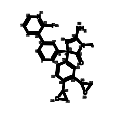 CN1C(=O)[C@](c2cccc(-c3cccnc3F)c2)(c2ccc(C3CO3)c(C3CO3)c2)N=C1N